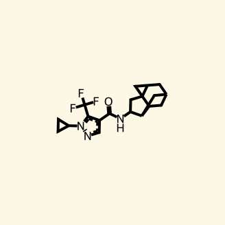 O=C(NC1CC23CC2CC2CC1C3C2)c1cnn(C2CC2)c1C(F)(F)F